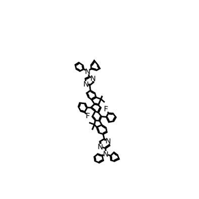 CC1(C)c2cc(-c3cnc(N(c4ccccc4)c4ccccc4)cn3)ccc2-c2c1cc1c(-c3ccccc3F)c3c(cc1c2-c1ccccc1F)C(C)(C)c1cc(-c2cnc(N(c4ccccc4)c4ccccc4)cn2)ccc1-3